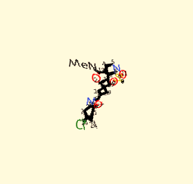 CNC(=O)c1ccnc(S(C)(=O)=O)c1C1CC2(CC(c3nc4cc(Cl)ccc4o3)C2)C1